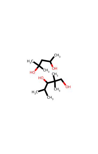 CC(C)C(O)C(C)(C)CO.CC(O)CC(C)(C)O